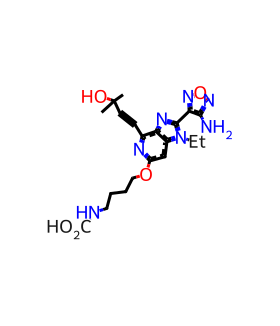 CCn1c(-c2nonc2N)nc2c(C#CC(C)(C)O)nc(OCCCCNC(=O)O)cc21